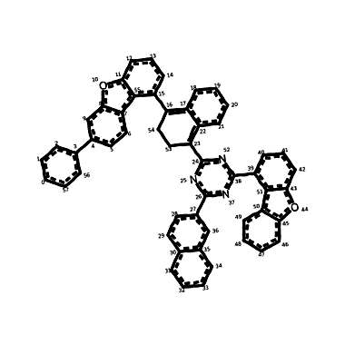 c1ccc(-c2ccc3c(c2)oc2cccc(C4=c5ccccc5=C(c5nc(-c6ccc7ccccc7c6)nc(-c6cccc7oc8ccccc8c67)n5)CC4)c23)cc1